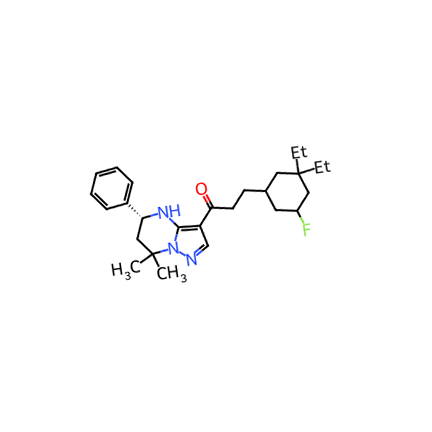 CCC1(CC)CC(F)CC(CCC(=O)c2cnn3c2N[C@@H](c2ccccc2)CC3(C)C)C1